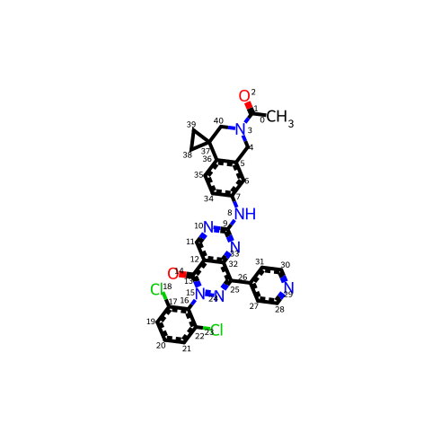 CC(=O)N1Cc2cc(Nc3ncc4c(=O)n(-c5c(Cl)cccc5Cl)nc(-c5ccncc5)c4n3)ccc2C2(CC2)C1